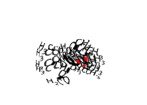 C=CC(=O)OCCOC(CC(=O)N(C(=O)OC(C)(C)C)C(=O)OC(C)(C)C)(CC(=O)N(C(=O)OC(C)(C)C)C(=O)OC(C)(C)C)C(=O)N(C(=O)OC(C)(C)C)C(=O)OC(C)(C)C